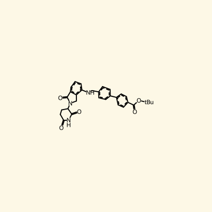 CC(C)(C)OC(=O)c1ccc(-c2ccc(CNc3cccc4c3CN(C3CCC(=O)NC3=O)C4=O)cc2)cc1